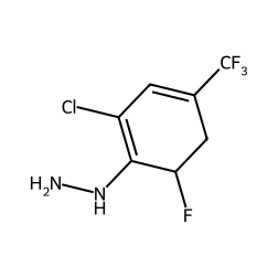 NNC1=C(Cl)C=C(C(F)(F)F)CC1F